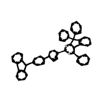 c1ccc(-c2nc(-c3ccc(-c4ccc(C5c6ccccc6-c6ccccc65)cc4)cc3)nc3c2-c2ccccc2C3(c2ccccc2)c2ccccc2)cc1